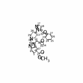 COC(=O)c1ccc2nc(CN3CCC(n4nccc4COc4ccccc4)CC3)n(CC3CCO3)c2c1